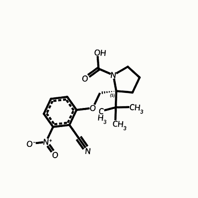 CC(C)(C)[C@]1(COc2cccc([N+](=O)[O-])c2C#N)CCCN1C(=O)O